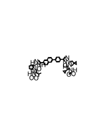 COC(=O)N[C@H](C(=O)N1[C@@H]2CC[C@@H](C2)[C@H]1c1ncc(-c2ccc3cc(-c4ccc(-c5cnc([C@@H]6CC7(CC7)CN6C(=O)[C@@H](NC(=O)OC)C6CC6)[nH]5)cc4)ccc3c2)[nH]1)C(C)C